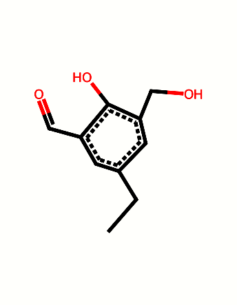 CCc1cc(C=O)c(O)c(CO)c1